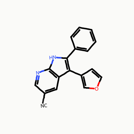 [C-]#[N+]c1cnc2[nH]c(-c3ccccc3)c(-c3ccoc3)c2c1